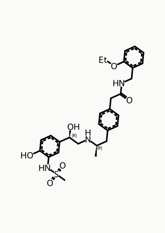 CCOc1ccccc1CNC(=O)Cc1ccc(C[C@@H](C)NC[C@H](O)c2ccc(O)c(NS(C)(=O)=O)c2)cc1